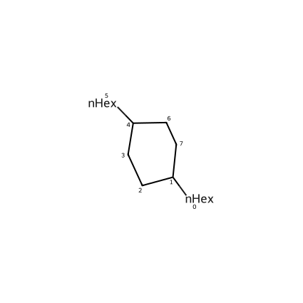 CCCCCCC1CCC(CCCCCC)CC1